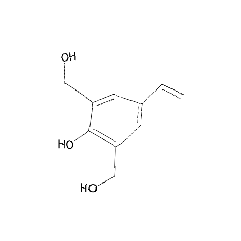 C=Cc1cc(CO)c(O)c(CO)c1